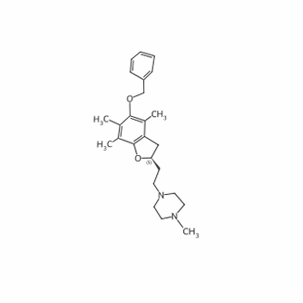 Cc1c(C)c2c(c(C)c1OCc1ccccc1)C[C@@H](CCN1CCN(C)CC1)O2